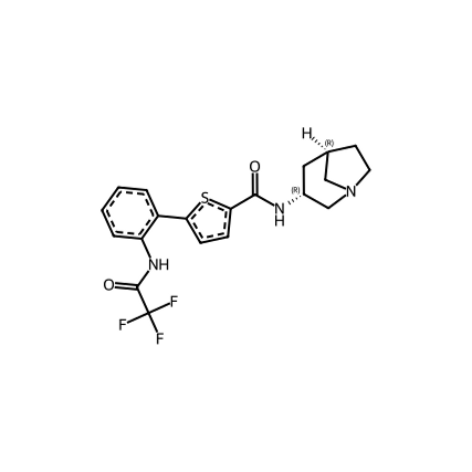 O=C(N[C@@H]1C[C@H]2CCN(C2)C1)c1ccc(-c2ccccc2NC(=O)C(F)(F)F)s1